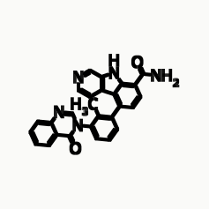 Cc1c(-c2ccc(C(N)=O)c3[nH]c4cnccc4c23)cccc1-n1cnc2ccccc2c1=O